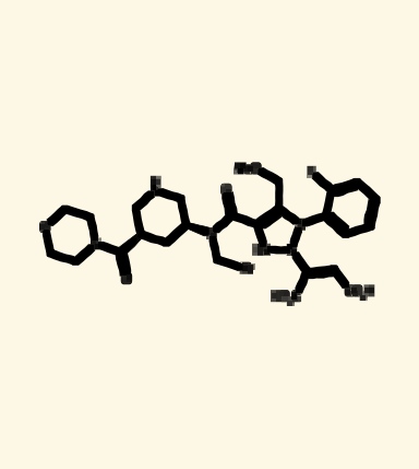 COCC1=C(C(=O)N(CC(C)C)[C@@H]2CNC[C@H](C(=O)N3CCOCC3)C2)NN(/C(=C/C(=O)O)C(=O)O)N1c1ccccc1F